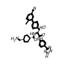 Cc1ccc(C#N)cc1-c1ccc(C[C@H](NC(=O)[C@H]2CC[C@H](CN)CC2)C(=O)Nc2ccc(-c3nn[nH]n3)cc2)cc1.Cl